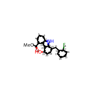 COC(=O)c1cccc2[nH]c3c(Cc4ccccc4F)ccc(O)c3c12